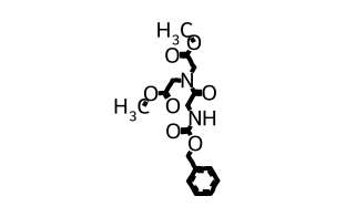 COC(=O)CN(CC(=O)OC)C(=O)CNC(=O)OCc1ccccc1